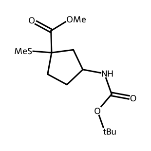 COC(=O)C1(SC)CCC(NC(=O)OC(C)(C)C)C1